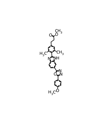 COC(=O)CCc1cc(C)c(-c2nc3ccc(-c4nnc(-c5ccc(OC)cc5)o4)cc3[nH]2)c(C)c1